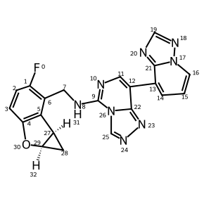 Fc1ccc2c(c1CNc1ncc(-c3cccn4ncnc34)c3nncn13)[C@H]1C[C@H]1O2